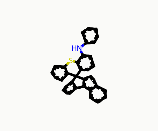 c1ccc(Nc2cccc3c2Sc2ccccc2C32c3ccccc3-c3c2ccc2ccccc32)cc1